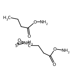 CCCC(=O)ON.CCCC(=O)ON.[nH]1os1